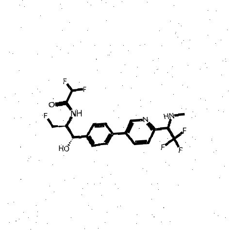 CNC(c1ccc(-c2ccc([C@H](O)[C@@H](CF)NC(=O)C(F)F)cc2)cn1)C(F)(F)F